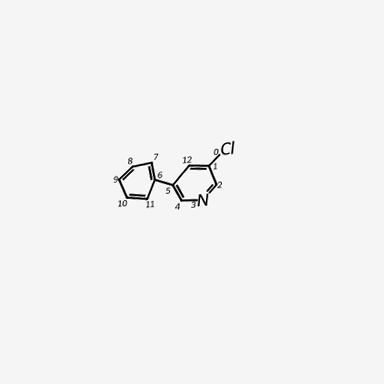 Clc1cncc(-c2ccccc2)c1